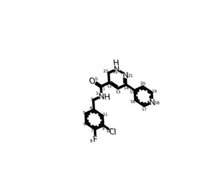 O=C(NCc1ccc(F)c(Cl)c1)C1=CC(c2ccncc2)=NNC1